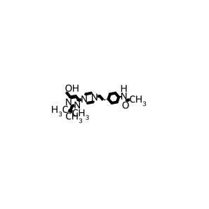 CC(=O)N[C@H]1CC[C@H](CCN2CCN(c3cc(CO)nc(C(C)(C)C)n3)CC2)CC1